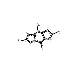 CCCn1c2nc(CC)[nH]c2c(=O)n2nc(CC)nc12